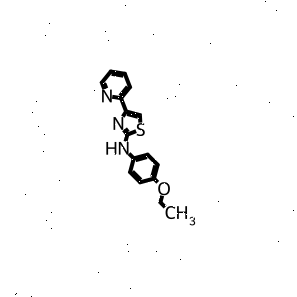 CCOc1ccc(Nc2nc(-c3ccccn3)cs2)cc1